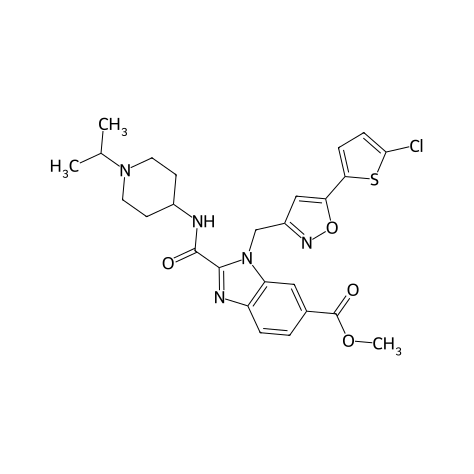 COC(=O)c1ccc2nc(C(=O)NC3CCN(C(C)C)CC3)n(Cc3cc(-c4ccc(Cl)s4)on3)c2c1